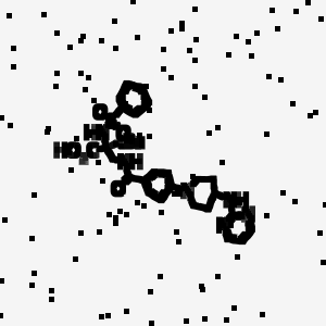 CC(C)(C)[C@](CNC(=O)c1ccc(N2CCC(Nc3ncccn3)CC2)cc1)(NS(=O)(=O)c1ccccc1)C(=O)O